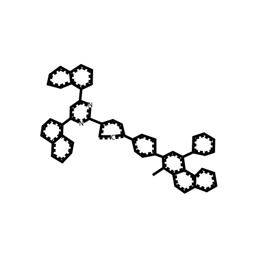 Cc1c(-c2ccc(-c3ccc(-c4nc(-c5cccc6ccccc56)cc(-c5cccc6ccccc56)n4)cc3)cc2)cc(-c2ccccc2)c2c1ccc1ccccc12